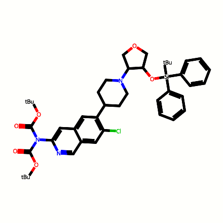 CC(C)(C)OC(=O)N(C(=O)OC(C)(C)C)c1cc2cc(C3CCN(C4COCC4O[Si](c4ccccc4)(c4ccccc4)C(C)(C)C)CC3)c(Cl)cc2cn1